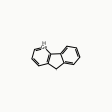 [CH]1C2=[C]([GeH]=[CH]C=C2)c2ccccc21